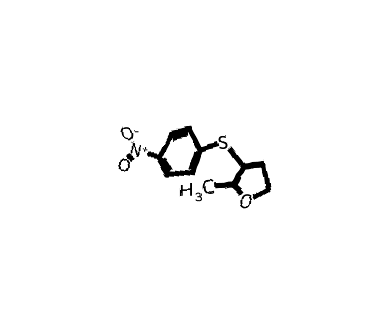 CC1OCCC1Sc1ccc([N+](=O)[O-])cc1